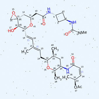 CNC(=O)N[C@H]1C[C@H](NC(=O)C[C@@H]2C[C@@]3(CO3)[C@H](O)[C@@H](/C=C/C(C)=C/C[C@@H]3O[C@H](C)[C@H](NC(=O)/C=C\[C@H](C)OC(C)=O)C[C@@H]3C)O2)C1